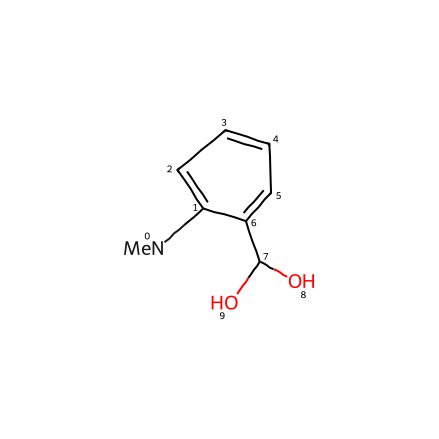 CNc1ccccc1C(O)O